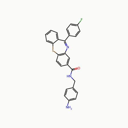 Nc1ccc(CNC(=O)c2ccc3c(c2)N=C(c2ccc(F)cc2)c2ccccc2S3)cc1